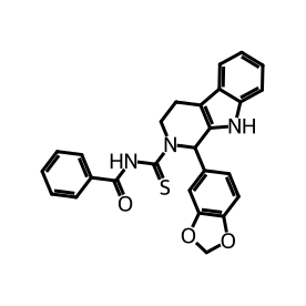 O=C(NC(=S)N1CCc2c([nH]c3ccccc23)C1c1ccc2c(c1)OCO2)c1ccccc1